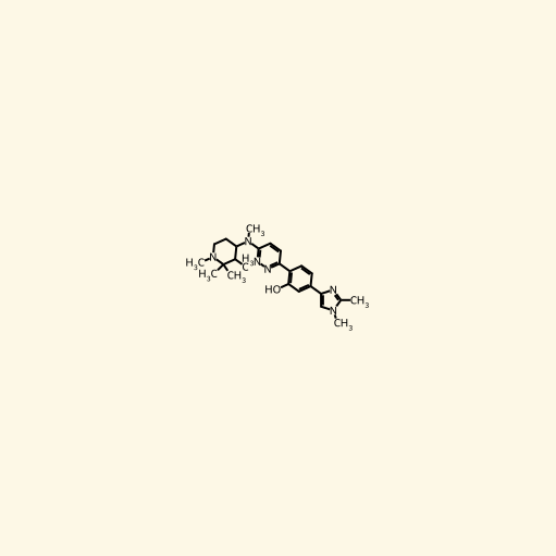 Cc1nc(-c2ccc(-c3ccc(N(C)C4CCN(C)C(C)(C)C4C)nn3)c(O)c2)cn1C